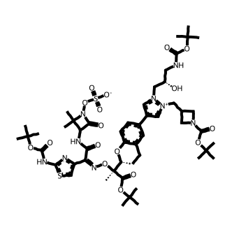 CC(C)(C)OC(=O)NC[C@H](O)Cn1cc(-c2ccc3c(c2)CC[C@H]([C@](C)(O/N=C(\C(=O)NC2C(=O)N(OS(=O)(=O)[O-])C2(C)C)c2csc(NC(=O)OC(C)(C)C)n2)C(=O)OC(C)(C)C)O3)c[n+]1CC1CN(C(=O)OC(C)(C)C)C1